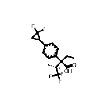 CCC(C(=O)O)(c1ccc(C2CC2(F)F)cc1)[C@@H](C)C(F)(F)F